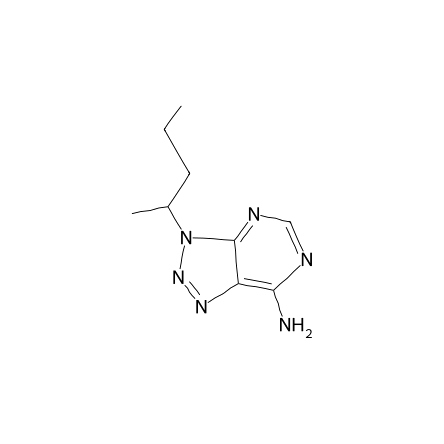 CCCC(C)n1nnc2c(N)ncnc21